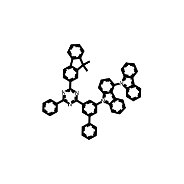 CC1(C)c2ccccc2-c2ccc(-c3nc(-c4ccccc4)nc(-c4cc(-c5ccccc5)cc(-n5c6ccccc6c6c(-n7c8ccccc8c8ccccc87)cccc65)c4)n3)cc21